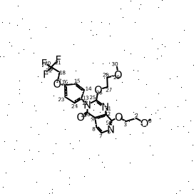 COCCOc1nccc2c(=O)n(-c3ccc(OCC(F)(F)F)cc3)c(OCCOC)nc12